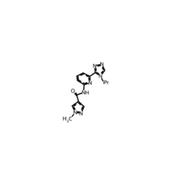 CC(C)n1cnnc1-c1cccc(NC(=O)c2cnn(C)c2)n1